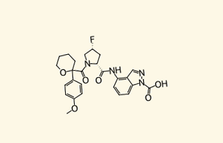 COc1ccc(C2(C(=O)N3C[C@H](F)C[C@@H]3C(=O)Nc3cccc4c3cnn4C(=O)O)CCCCO2)cc1